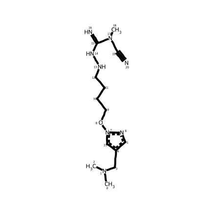 CN(C)Cc1cnn(OCCCCNNC(=N)N(C)C#N)c1